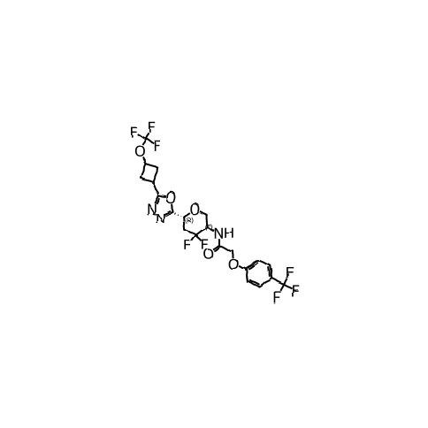 O=C(COc1ccc(C(F)(F)F)cc1)N[C@@H]1CO[C@@H](c2nnc(C3CC(OC(F)(F)F)C3)o2)CC1(F)F